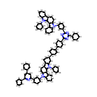 c1ccc(-c2cc(-c3ccccc3)nc(-c3cccc(-n4c5ccccc5c5c4ccc4c6ccc(-c7ccc(-c8ccc(-c9nc(-c%10ccccc%10)nc(-c%10cccc(-n%11c%12ccccc%12c%12c%11ccc%11c%13ccccc%13n(-c%13ccccc%13)c%11%12)c%10)n9)cc8)cc7)cc6n(-c6ccccc6)c45)c3)c2)cc1